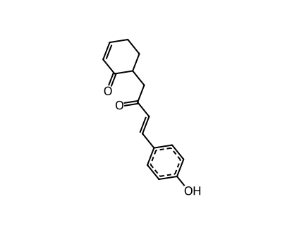 O=C(/C=C/c1ccc(O)cc1)CC1CCC=CC1=O